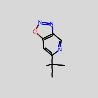 CC(C)(C)c1cc2onnc2cn1